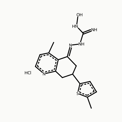 Cc1ccc(C2CC(=NNC(=N)NO)c3c(C)ccnc3C2)s1.Cl